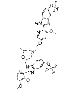 COc1cc(OCCN2CC(C)OC(Cn3c(-c4nccc(OC)c4OC)nc4cc(OC(F)(F)F)ccc43)C2)cnc1-c1nc2cc(OC(F)(F)F)ccc2[nH]1